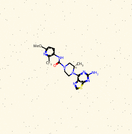 COc1ccc(NC(=O)N2CCN(c3nc(N)nc4scnc34)[C@@H](C)C2)c(C(F)(F)F)n1